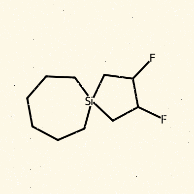 FC1C[Si]2(CCCCCC2)CC1F